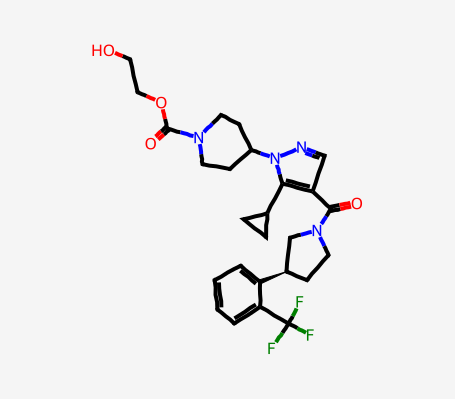 O=C(OCCO)N1CCC(n2ncc(C(=O)N3CC[C@@H](c4ccccc4C(F)(F)F)C3)c2C2CC2)CC1